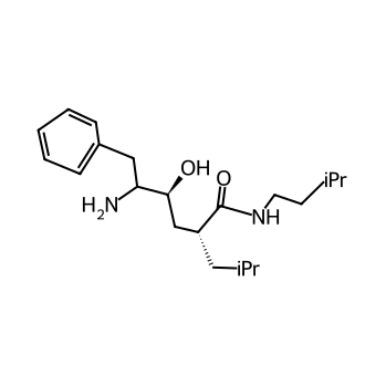 CC(C)CCNC(=O)[C@H](CC(C)C)C[C@H](O)C(N)Cc1ccccc1